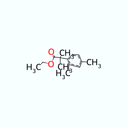 CCOC(=O)C(C)(C)c1ccc(C)cc1C